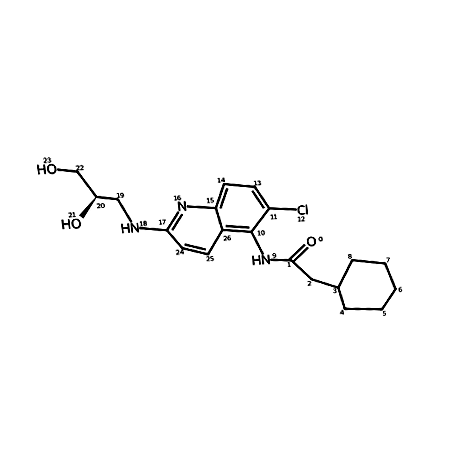 O=C(CC1CCCCC1)Nc1c(Cl)ccc2nc(NC[C@@H](O)CO)ccc12